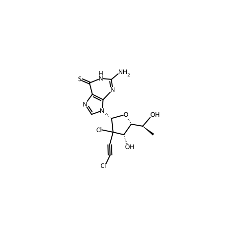 C[C@H](O)[C@H]1O[C@@H](n2cnc3c(=S)[nH]c(N)nc32)C(Cl)(C#CCl)[C@H]1O